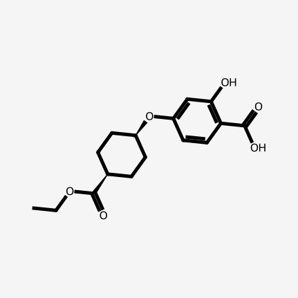 CCOC(=O)[C@H]1CC[C@@H](Oc2ccc(C(=O)O)c(O)c2)CC1